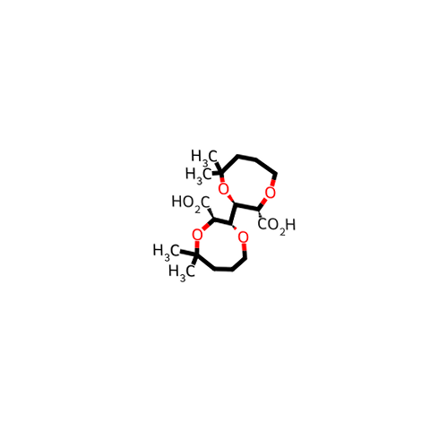 CC1(C)CCCO[C@H](C(=O)O)[C@@H]([C@@H]2OCCCC(C)(C)O[C@H]2C(=O)O)O1